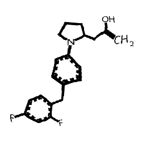 C=C(O)CC1CCCN1c1ccc(Cc2ccc(F)cc2F)cc1